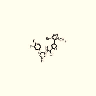 Cn1ncc(Br)c1-c1coc(C(=O)N[C@H]2CNC[C@@H]2c2ccc(F)c(F)c2)c1